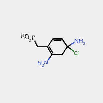 NC1=C(CC(=O)O)C=CC(N)(Cl)C1